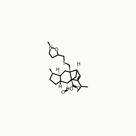 CC(C)C1=C[C@H]2C[C@@]3(C=O)[C@@H]4CC[C@@H](C)[C@H]4C[C@@]2(CSCC2CCN(C)O2)[C@]13C(=O)O